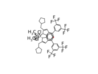 C[SiH](C)[Zr]([Cl])([Cl])([CH]1C(CC2CCCC2)=Cc2c(-c3cc(C(F)(F)F)cc(C(F)(F)F)c3)cccc21)[CH]1C(CC2CCCC2)=Cc2c(-c3cc(C(F)(F)F)cc(C(F)(F)F)c3)cccc21